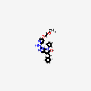 COCCOc1ccc(Nc2ncc3cc(Cc4ccccc4)c(=O)n(C4CCCC4)c3n2)nc1